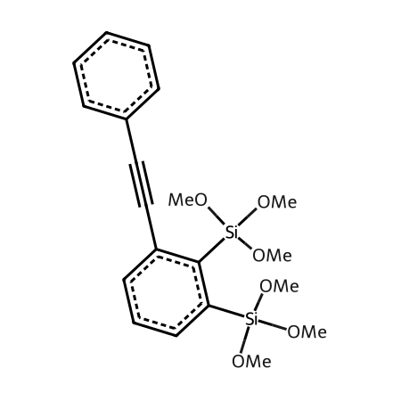 CO[Si](OC)(OC)c1cccc(C#Cc2ccccc2)c1[Si](OC)(OC)OC